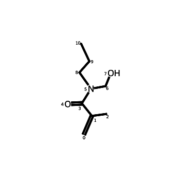 C=C(C)C(=O)N(CO)CCC